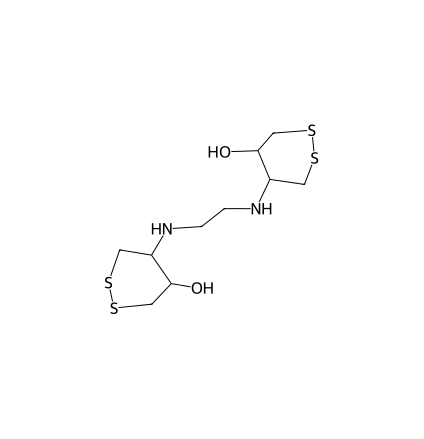 OC1CSSCC1NCCNC1CSSCC1O